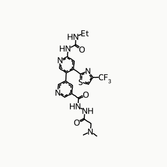 CCNC(=O)Nc1cc(-c2nc(C(F)(F)F)cs2)c(-c2cncc(C(=O)NNC(=O)CN(C)C)c2)cn1